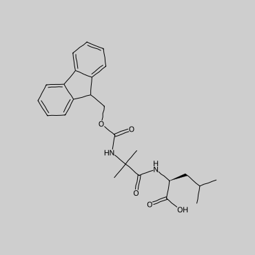 CC(C)C[C@H](NC(=O)C(C)(C)NC(=O)OCC1c2ccccc2-c2ccccc21)C(=O)O